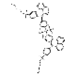 CCCCCC(C)(C)c1ccc(N(c2ccc(C(c3ccc(N(c4ccc(C(C)(C)CCCCC)cc4)c4cccc5ccccc45)cc3)(C(F)(F)F)C(F)(F)F)cc2)c2cccc3ccccc23)cc1